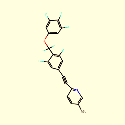 CCCCc1ccc(C#Cc2cc(F)c(C(F)(F)Oc3cc(F)c(F)c(F)c3)c(F)c2)nc1